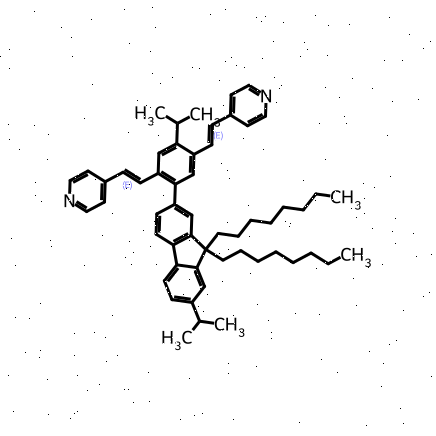 CCCCCCCCC1(CCCCCCCC)c2cc(-c3cc(/C=C/c4ccncc4)c(C(C)C)cc3/C=C/c3ccncc3)ccc2-c2ccc(C(C)C)cc21